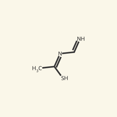 C/C(S)=N/C=N